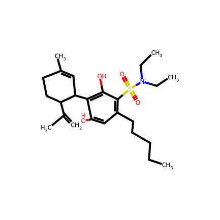 C=C(C)C1CCC(C)=CC1c1c(O)cc(CCCCC)c(S(=O)(=O)N(CC)CC)c1O